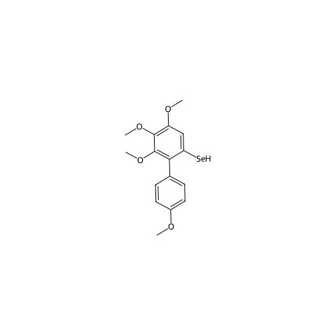 COc1ccc(-c2c([SeH])cc(OC)c(OC)c2OC)cc1